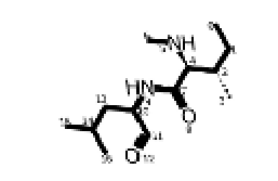 CC[C@H](C)[C@H](NC)C(=O)NC(C=O)CC(C)C